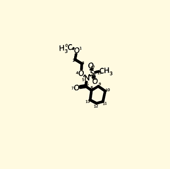 COCCON(C(=O)C1CCCCC1)S(C)(=O)=O